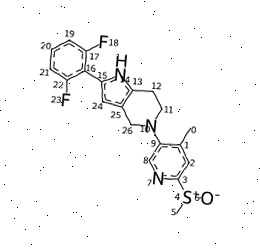 Cc1cc([S+](C)[O-])ncc1N1CCc2[nH]c(-c3c(F)cccc3F)cc2C1